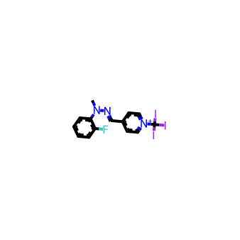 CN(N=Cc1cc[n+](C(I)(I)I)cc1)c1ccccc1F